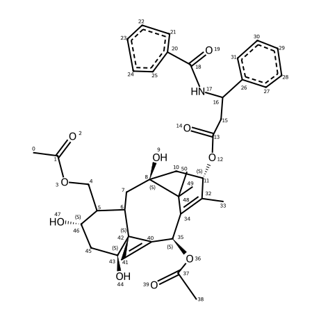 CC(=O)OCC1C2C[C@]3(O)C[C@H](OC(=O)CC(NC(=O)c4ccccc4)c4ccccc4)C(C)=C([C@@H](OC(C)=O)C4=C[C@]42[C@@H](O)C[C@@H]1O)C3(C)C